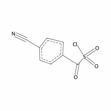 N#Cc1ccc(C(=O)S(=O)(=O)Cl)cc1